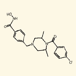 CC1CN(Cc2ccc(C(=O)NO)cc2)CC(C)N1C(=O)c1ccc(Cl)cc1